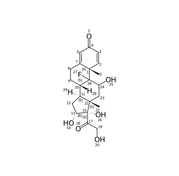 C[C@]12C=CC(=O)C=C1CC[C@H]1[C@@H]3C[C@@H](O)[C@](O)(C(=O)CO)[C@@]3(C)CC(O)C12F